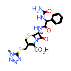 Cn1nnnc1SCC1=C(C(=O)O)N2C(=O)[C@H](NC(=O)C(NC(N)=O)c3ccccc3)C2SC1